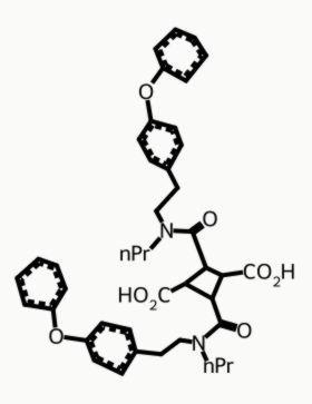 CCCN(CCc1ccc(Oc2ccccc2)cc1)C(=O)C1C(C(=O)O)C(C(=O)N(CCC)CCc2ccc(Oc3ccccc3)cc2)C1C(=O)O